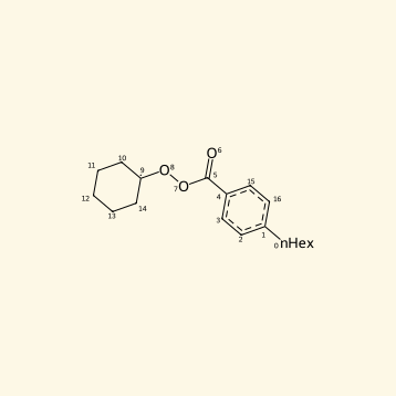 CCCCCCc1ccc(C(=O)OO[C]2CCCCC2)cc1